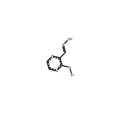 CCOc1nccnc1C=NO